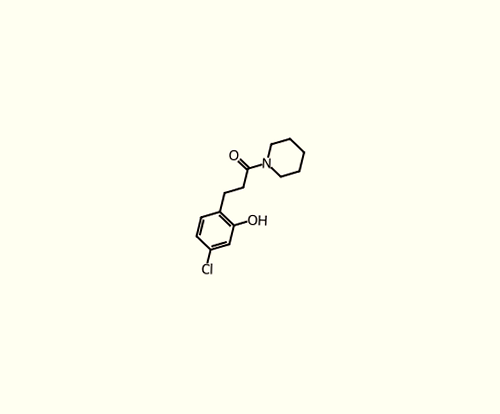 O=C(CCc1ccc(Cl)cc1O)N1CCCCC1